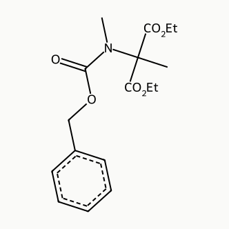 CCOC(=O)C(C)(C(=O)OCC)N(C)C(=O)OCc1ccccc1